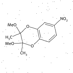 COC1(C)Oc2ccc([N+](=O)[O-])cc2OC1(C)OC